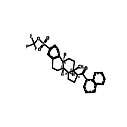 C[C@]12CC[C@@H]3c4ccc(S(=O)(=O)OC(F)(F)F)cc4CC[C@H]3[C@@H]1CC[C@@H]2C(=O)c1cccc2ccccc12